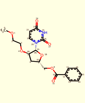 COCCO[C@@H]1C[C@@H](COC(=O)c2ccccc2)O[C@H]1n1ccc(=O)[nH]c1=O